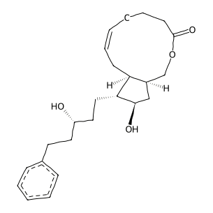 O=C1CCC/C=C\C[C@H]2[C@@H](CO1)C[C@@H](O)[C@@H]2CC[C@@H](O)CCc1ccccc1